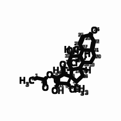 CCC(=O)OCC(=O)[C@@]1(C(C)C(=O)O)[C@@H](C)C[C@H]2[C@@H]3CCC4=CC(=O)C=C[C@]4(C)[C@@]3(Cl)[C@@H](O)C[C@@]21C